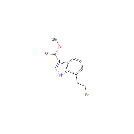 CC(C)(C)OC(=O)n1cnc2c(CCBr)cccc21